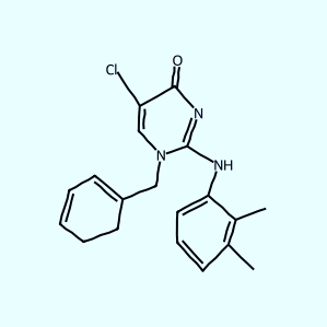 Cc1cccc(Nc2nc(=O)c(Cl)cn2CC2=CC=CCC2)c1C